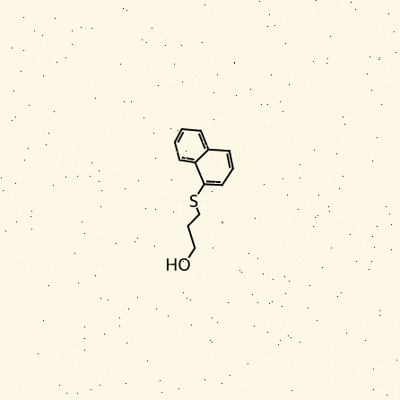 OCCCSc1cccc2ccccc12